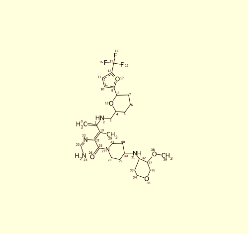 C=C(NCC1CCCC(c2ccc(C(F)(F)F)o2)O1)/C(C)=C(\N=C/N)C(=O)N1CCC(NC2CCOCC2OC)CC1